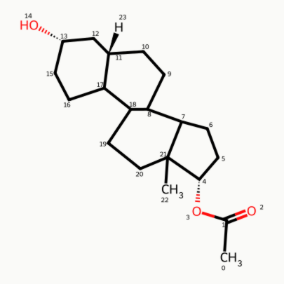 CC(=O)O[C@H]1CCC2C3CC[C@H]4C[C@@H](O)CCC4C3CCC21C